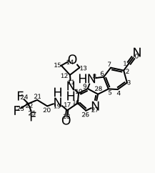 N#Cc1ccc2c(c1)[nH]c1c(NC3COC3)c(C(=O)NCCC(F)(F)F)cnc12